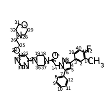 Cc1cc(-c2cc(-c3ccccc3)n(CC(=O)N3CCN(c4cc(OCCN5CCOCC5)ncn4)CC3)n2)ccc1F